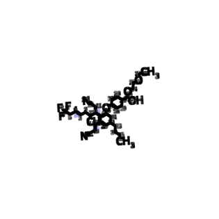 C=C(C/C=C/CC(F)(F)F)/C(=C\C#N)C1=C(OC2=CCC(C(O)OCCOCC)C=C2)CC(CCCC)C=C1/C=C/C#N